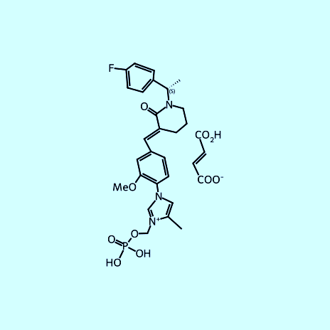 COc1cc(C=C2CCCN([C@@H](C)c3ccc(F)cc3)C2=O)ccc1-n1cc(C)[n+](COP(=O)(O)O)c1.O=C([O-])C=CC(=O)O